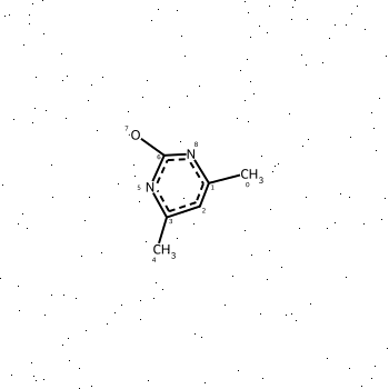 Cc1cc(C)nc([O])n1